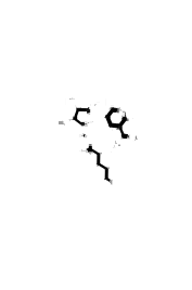 CCCCCC(=O)OC[C@H]1OC(O)[C@H](O)[C@@H]1O.NC(=O)c1cccnc1